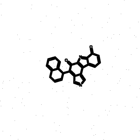 O=c1cccc2c3c4cncc-4c(C4C=CCc5ccccc54)c(=O)c=3nc1-2